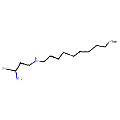 CCCCCCCCCCCCCCCCCCNCCC(N)CC